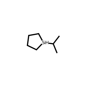 CC(C)[SiH]1CCCC1